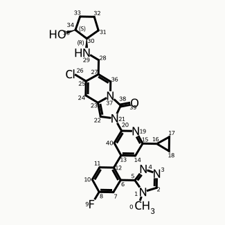 Cn1cnnc1-c1cc(F)ccc1-c1cc(C2CC2)nc(-n2cc3cc(Cl)c(CN[C@@H]4CCC[C@@H]4O)cn3c2=O)c1